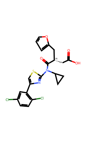 O=C(O)C[C@@H](Cc1ccco1)C(=O)N(c1nc(-c2cc(Cl)ccc2Cl)cs1)C1CC1